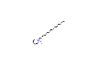 CCCCCCCCCCCCCC[N+]1(C(C)C)C=CC=CC1